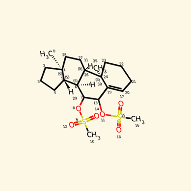 C[C@@]12CCC[C@H]1[C@@H]1C(OS(C)(=O)=O)C(OS(C)(=O)=O)C3=CCCC[C@]3(C)[C@@H]1CC2